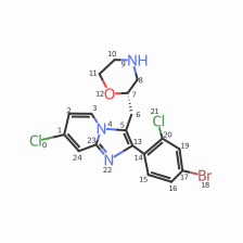 Clc1ccn2c(C[C@H]3CNCCO3)c(-c3ccc(Br)cc3Cl)nc2c1